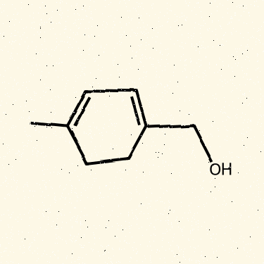 CC1=CC=C(CO)CC1